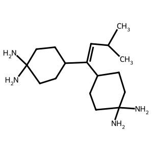 CC(C)C=C(C1CCC(N)(N)CC1)C1CCC(N)(N)CC1